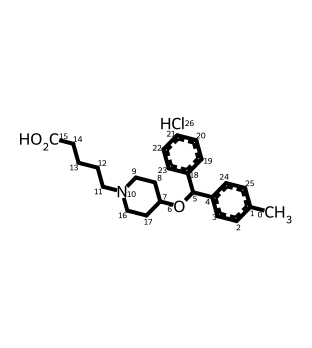 Cc1ccc(C(OC2CCN(CCCCC(=O)O)CC2)c2ccccc2)cc1.Cl